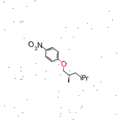 CC(C)C[C@@H](C)COc1ccc([N+](=O)[O-])cc1